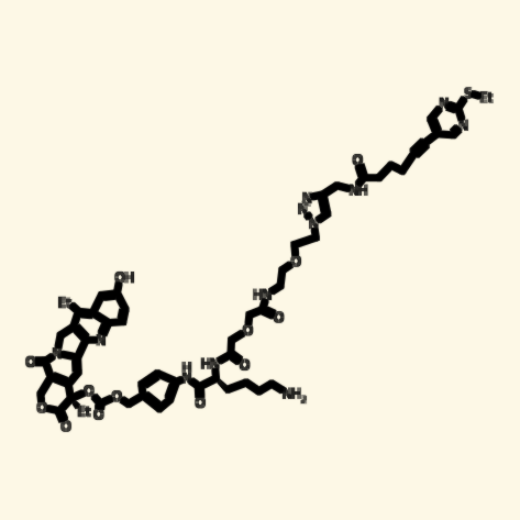 CCSc1ncc(C#CCCCC(=O)NCc2cn(CCOCCNC(=O)COCC(=O)N[C@@H](CCCCN)C(=O)Nc3ccc(COC(=O)O[C@]4(CC)C(=O)OCc5c4cc4n(c5=O)Cc5c-4nc4ccc(O)cc4c5CC)cc3)nn2)cn1